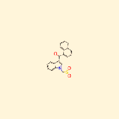 O=C(c1cccc2ccccc12)c1cn(C=S(=O)=O)c2ccccc12